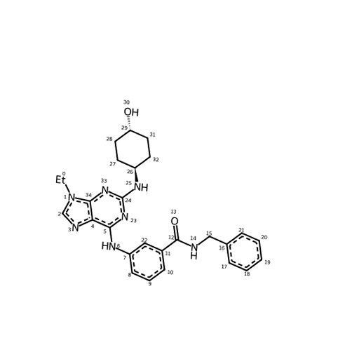 CCn1cnc2c(Nc3cccc(C(=O)NCc4ccccc4)c3)nc(N[C@H]3CC[C@H](O)CC3)nc21